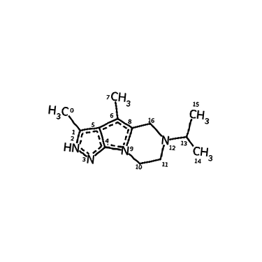 Cc1[nH]nc2c1c(C)c1n2CCN(C(C)C)C1